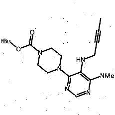 CC#CCNc1c(NC)ncnc1N1CCN(C(=O)OC(C)(C)C)CC1